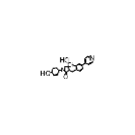 Cl.O=C1C(Cc2ccc(-c3ccncc3)cc2Cl)CCN1C1CCC(O)CC1